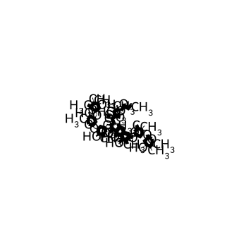 CCCC(=O)O[C@H](C)[C@H](O)C(=O)[C@@H](OC)[C@@H]1Cc2cc3cc(O[C@H]4C[C@@H](OC5C[C@@H](O)[C@@H](C)C(C)O5)[C@@H](C)C(C)O4)c(C)c(O)c3c(O)c2C(=O)[C@H]1O[C@H]1C[C@@H](O[C@H]2C[C@@H](O[C@H]3C[C@@](C)(O)[C@@H](C)C(C)O3)[C@H](O)C(C)O2)[C@H](O)C(C)O1